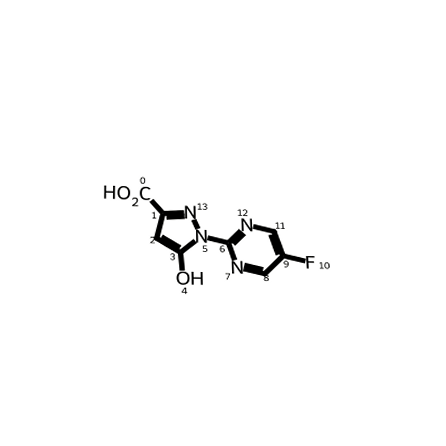 O=C(O)c1cc(O)n(-c2ncc(F)cn2)n1